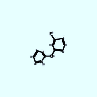 Fc1cccc(Oc2ccccn2)c1